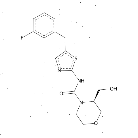 O=C(Nc1ncc(Cc2cccc(F)c2)s1)N1CCOC[C@@H]1CO